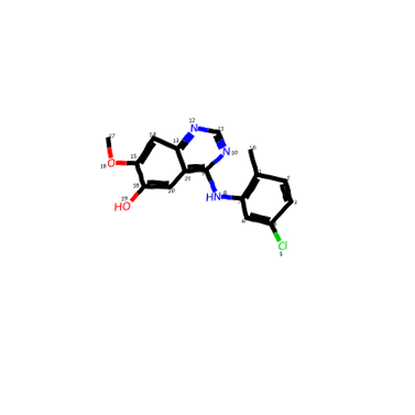 [CH2]c1ccc(Cl)cc1Nc1ncnc2cc(OC)c(O)cc12